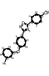 Oc1ccc(-c2nc(-c3ccc(Oc4cccc(I)c4)cc3)no2)cc1